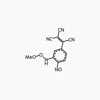 COONc1cc(C(C#N)=C(C#N)C#N)ccc1N=O